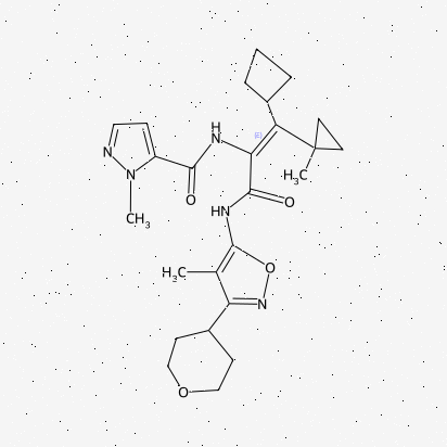 Cc1c(C2CCOCC2)noc1NC(=O)/C(NC(=O)c1ccnn1C)=C(/C1CCC1)C1(C)CC1